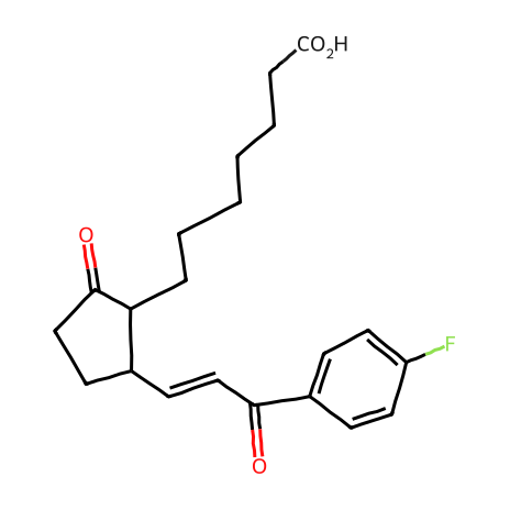 O=C(O)CCCCCCC1C(=O)CCC1C=CC(=O)c1ccc(F)cc1